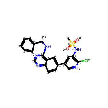 C[C@H](Nc1ncnc2ccc(-c3cnc(Cl)c(NS(C)(=O)=O)c3)cc12)c1ccccc1